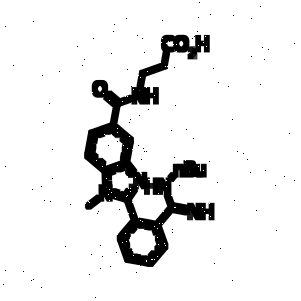 CCCCNC(=N)c1ccccc1-c1nc2cc(C(=O)NCCC(=O)O)ccc2n1C